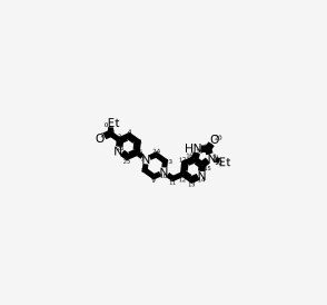 CCC(=O)c1ccc(N2CCN(Cc3cnc4c(c3)[nH]c(=O)n4CC)CC2)cn1